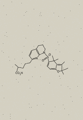 CC1=C2C(=CC=C(S(=O)(=O)N3CCCc4ccc(CCCC(C)C(=O)O)nc43)C2(C)C)OC1(C)C